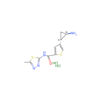 Cc1nnc(NC(=O)c2cc([C@@H]3C[C@H]3N)cs2)s1.Cl.Cl